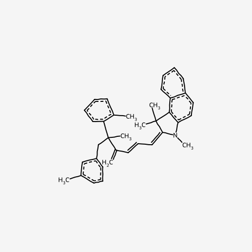 C=C(/C=C/C=C1/N(C)c2ccc3ccccc3c2C1(C)C)C(C)(Cc1cccc(C)c1)c1ccccc1C